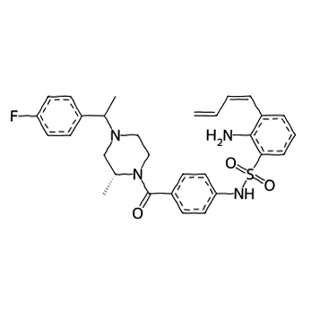 C=C/C=C\c1cccc(S(=O)(=O)Nc2ccc(C(=O)N3CCN(C(C)c4ccc(F)cc4)C[C@H]3C)cc2)c1N